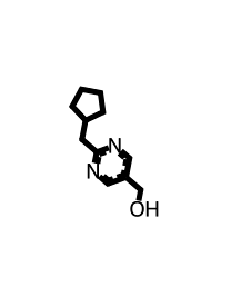 OCc1cnc(CC2CCCC2)nc1